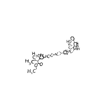 CCOC(=O)C(c1cc(N2CC3(CC(N4CCC(c5cnc(N6CCc7[nH]c8nnc(-c9ccccc9O)cc8c7[C@H]6C)nc5)CC4)C3)C2)no1)C(C)C